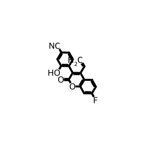 C=Cc1c(-c2ccc(C#N)cc2O)c(=O)oc2cc(F)ccc12